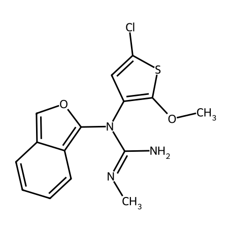 CN=C(N)N(c1cc(Cl)sc1OC)c1occ2ccccc12